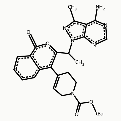 Cc1nn(C(C)c2oc(=O)c3ccccc3c2C2=CCN(C(=O)OC(C)(C)C)CC2)c2ncnc(N)c12